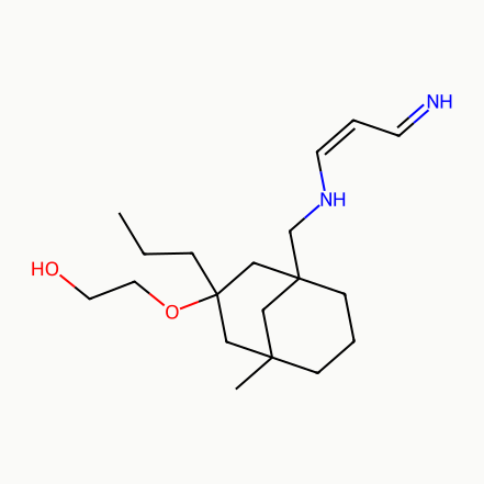 CCCC1(OCCO)CC2(C)CCCC(CN/C=C\C=N)(C2)C1